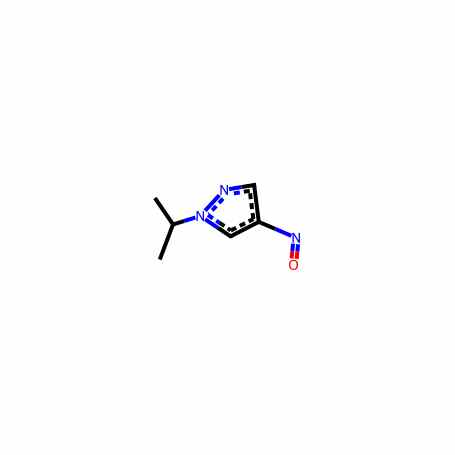 CC(C)n1cc(N=O)cn1